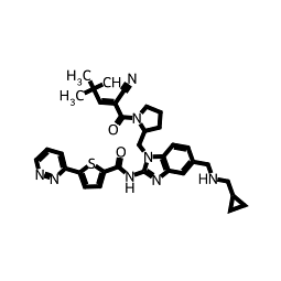 CC(C)(C)C=C(C#N)C(=O)N1CCCC1Cn1c(NC(=O)c2ccc(-c3cccnn3)s2)nc2cc(CNCC3CC3)ccc21